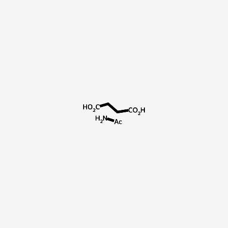 CC(N)=O.O=C(O)CCC(=O)O